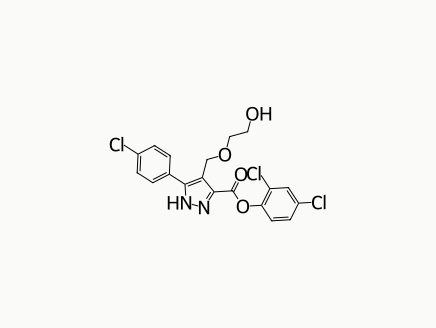 O=C(Oc1ccc(Cl)cc1Cl)c1n[nH]c(-c2ccc(Cl)cc2)c1COCCO